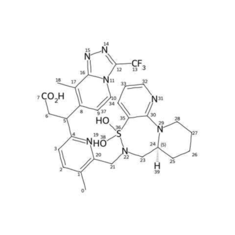 Cc1ccc(C(CC(=O)O)c2ccn3c(C(F)(F)F)nnc3c2C)nc1CN1C[C@@H]2CCCCN2c2ncccc2S1(O)O